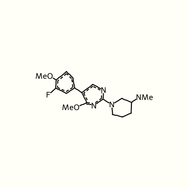 CNC1CCCN(c2ncc(-c3ccc(OC)c(F)c3)c(OC)n2)C1